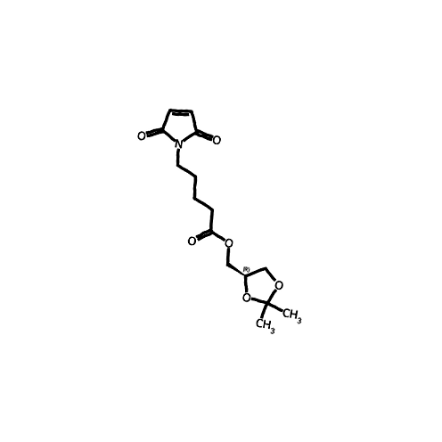 CC1(C)OC[C@H](COC(=O)CCCCN2C(=O)C=CC2=O)O1